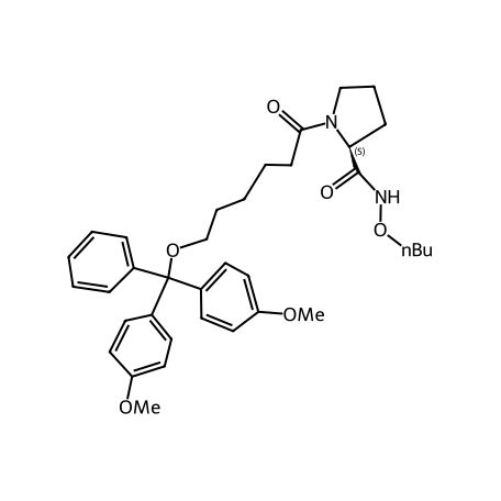 CCCCONC(=O)[C@@H]1CCCN1C(=O)CCCCCOC(c1ccccc1)(c1ccc(OC)cc1)c1ccc(OC)cc1